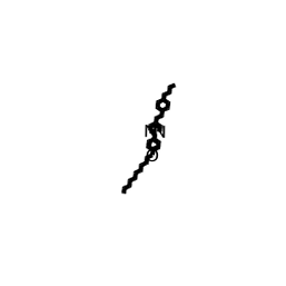 CCCCCCCCCCOc1ccc(-c2ncc(CCC3CCC(CCCC)CC3)cn2)cc1